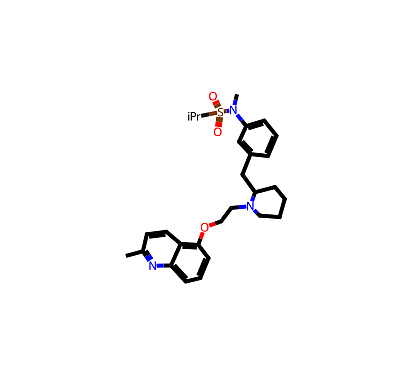 Cc1ccc2c(OCCN3CCCCC3Cc3cccc(N(C)S(=O)(=O)C(C)C)c3)cccc2n1